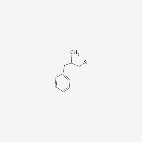 CC(C[S])Cc1ccccc1